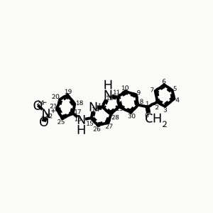 C=C(c1ccccc1)c1ccc2[nH]c3nc(Nc4cccc([N+](=O)[O-])c4)ccc3c2c1